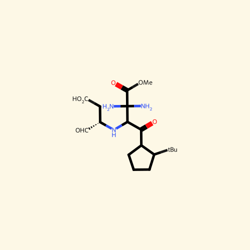 COC(=O)C(N)(N)C(N[C@H](C=O)CC(=O)O)C(=O)C1CCCC1C(C)(C)C